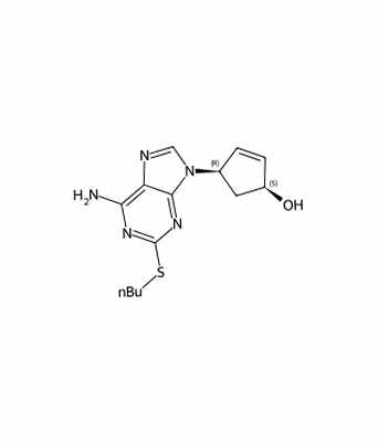 CCCCSc1nc(N)c2ncn([C@H]3C=C[C@@H](O)C3)c2n1